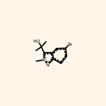 Cn1nc2ccc(Br)cc2c1C(C)(C)O